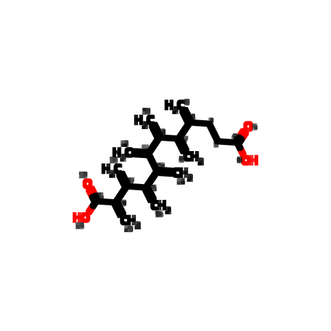 C=C(CCC(=O)O)C(=C)C(=C)C(=C)C(=C)C(=C)C(=C)C(=C)C(=O)O